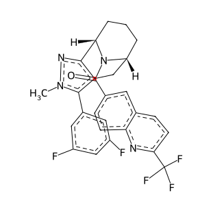 Cn1nc2c(c1-c1cc(F)cc(F)c1)C[C@H]1CCC[C@@H]2N1C(=O)c1ccc2nc(C(F)(F)F)ccc2c1